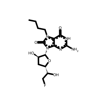 CCCCn1c(=O)n([C@@H]2O[C@H](C(O)CF)C[C@H]2O)c2nc(N)[nH]c(=O)c21